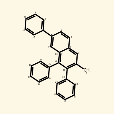 Cc1cc2ccc(-c3ccccc3)cc2c(-c2ccccc2)c1-c1ccccc1